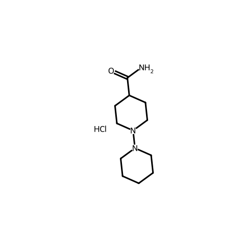 Cl.NC(=O)C1CCN(N2CCCCC2)CC1